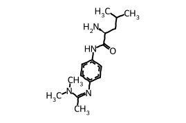 CC(=Nc1ccc(NC(=O)[C@@H](N)CC(C)C)cc1)N(C)C